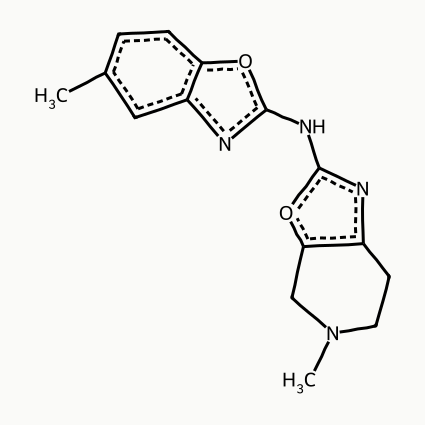 Cc1ccc2oc(Nc3nc4c(o3)CN(C)CC4)nc2c1